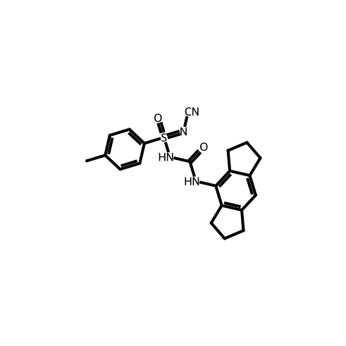 Cc1ccc(S(=O)(=NC#N)NC(=O)Nc2c3c(cc4c2CCC4)CCC3)cc1